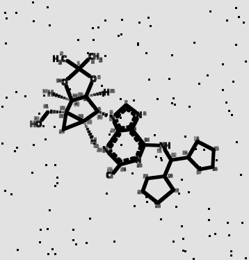 CC1(C)O[C@H]2[C@H](n3cnc4c(NC(C5CCCC5)C5CCCC5)nc(Cl)nc43)[C@H]3C[C@@]3(CO)[C@H]2O1